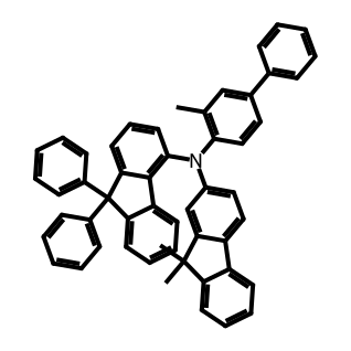 Cc1cc(-c2ccccc2)ccc1N(c1ccc2c(c1)C(C)(C)c1ccccc1-2)c1cccc2c1-c1ccccc1C2(c1ccccc1)c1ccccc1